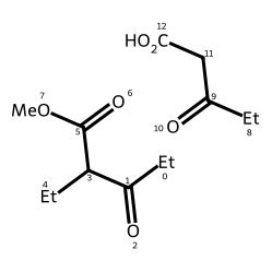 CCC(=O)C(CC)C(=O)OC.CCC(=O)CC(=O)O